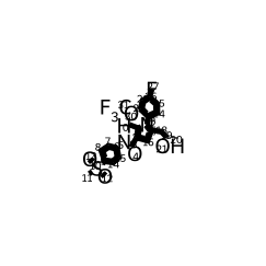 Cc1c(C(=O)Nc2ccc(S(C)(=O)=O)cc2)cc(C[C@H](C)O)n1-c1ccc(F)cc1OC(F)(F)F